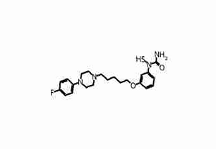 NC(=O)N(S)c1cccc(OCCCCCN2CCN(c3ccc(F)cc3)CC2)c1